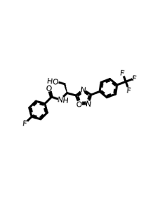 O=C(N[C@@H](CO)c1nc(-c2ccc(C(F)(F)F)cc2)no1)c1ccc(F)cc1